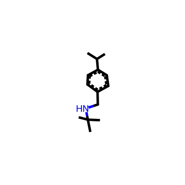 CC(C)c1ccc(CNC(C)(C)C)cc1